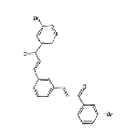 O=C(/C=C/c1cccc(/C=C/C(=O)c2cccc(Br)c2)c1)c1cccc(Br)c1